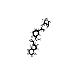 CC(Sc1nncn1C)c1cccc(NC(=O)c2ccc3c(n2)CCCC3)c1